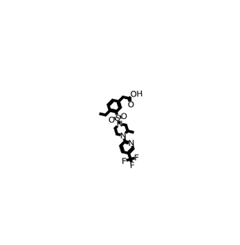 CCc1ccc(CC(=O)O)cc1S(=O)(=O)N1CCN(c2ccc(C(F)(F)F)cn2)C(C)C1